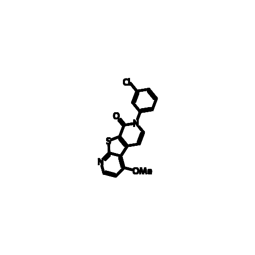 COc1ccnc2sc3c(=O)n(-c4cccc(Cl)c4)ccc3c12